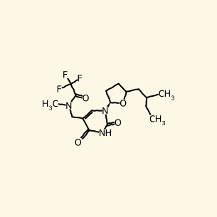 CCC(C)CC1CC[C@H](n2cc(CN(C)C(=O)C(F)(F)F)c(=O)[nH]c2=O)O1